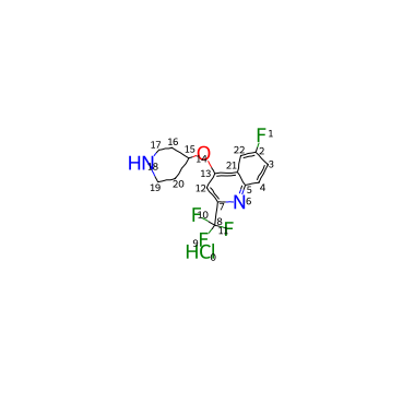 Cl.Fc1ccc2nc(C(F)(F)F)cc(OC3CCNCC3)c2c1